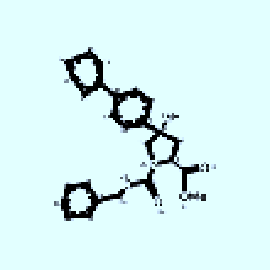 COC(=O)[C@@H]1C[C@@](S)(c2ccc(-c3ccccc3)cc2)CN1C(=O)OCc1ccccc1